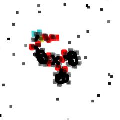 O=C(OCC1(COC(=O)C23CC4CC(CC(C4)C2)C3)COC2(OC1)C1CC3CC2CC(C(=O)OCC(F)(F)SOOO)(C3)C1)C12CC3CC(CC(C3)C1)C2